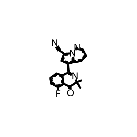 CC1(C)N=C(c2cc(C#N)n3ncccc23)c2cccc(F)c2C1=O